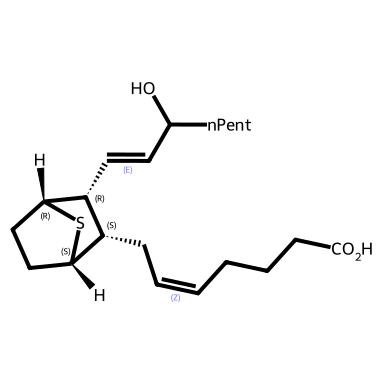 CCCCCC(O)/C=C/[C@@H]1[C@H](C/C=C\CCCC(=O)O)[C@@H]2CC[C@H]1S2